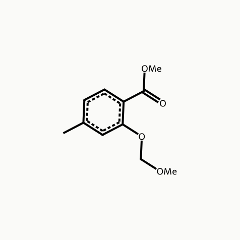 COCOc1cc(C)ccc1C(=O)OC